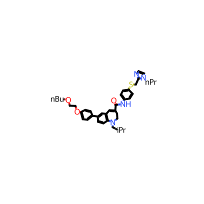 CCCCOCCOc1ccc(-c2ccc3c(c2)C=C(C(=O)Nc2ccc(SCc4nccn4CCC)cc2)CCN3CC(C)C)cc1